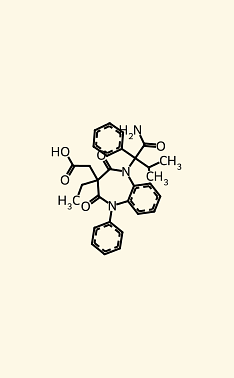 CCC1(CC(=O)O)C(=O)N(c2ccccc2)c2ccccc2N(C(C(N)=O)(c2ccccc2)C(C)C)C1=O